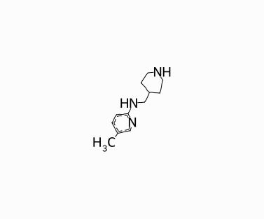 Cc1ccc(NCC2CCNCC2)nc1